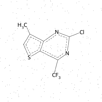 Cc1csc2c(C(F)(F)F)nc(Cl)nc12